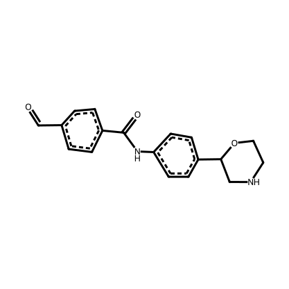 O=Cc1ccc(C(=O)Nc2ccc(C3CNCCO3)cc2)cc1